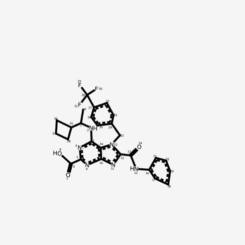 CC(Nc1nc(C(=O)O)nc2nc(C(=O)Nc3ccccc3)n(Cc3ccc(C(F)(F)F)cc3)c12)C1CCC1